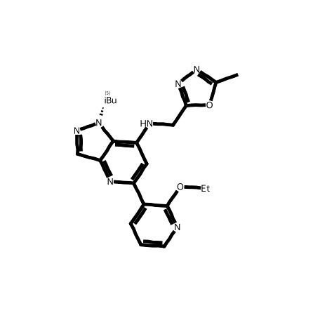 CCOc1ncccc1-c1cc(NCc2nnc(C)o2)c2c(cnn2[C@@H](C)CC)n1